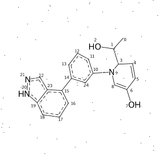 CC(O)C1C=CC(O)=CN1c1cccc(-c2cccc3[nH]ncc23)c1